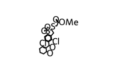 COC(=O)CSC1Cc2c(ccc(C(=O)C3=C(Cl)CCCC3=O)c2Cl)S1(=O)=O